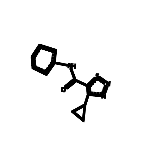 O=C(Nc1ccccc1)c1snnc1C1CC1